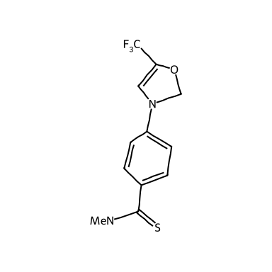 CNC(=S)c1ccc(N2C=C(C(F)(F)F)OC2)cc1